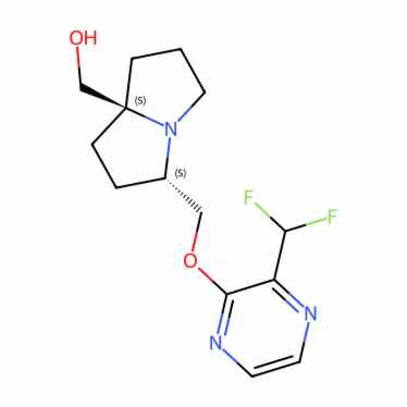 OC[C@@]12CCCN1[C@H](COc1nccnc1C(F)F)CC2